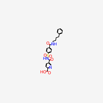 O=C(NCCCCc1ccccc1)c1ccc(S(=O)(=O)NC(=O)c2ccc(C(=O)O)nc2)cc1